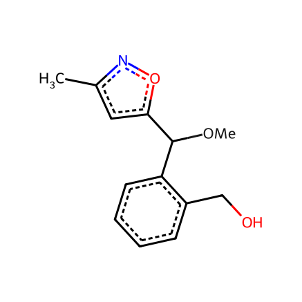 COC(c1cc(C)no1)c1ccccc1CO